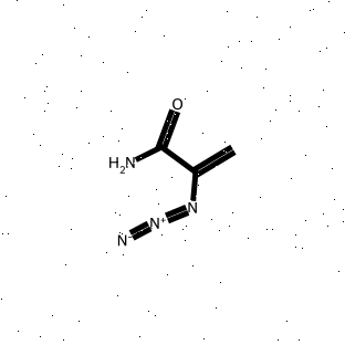 C=C(N=[N+]=[N-])C(N)=O